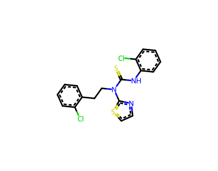 S=C(Nc1ccccc1Cl)N(CCc1ccccc1Cl)c1nccs1